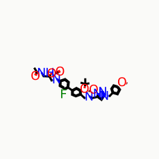 COc1ccc(Cn2cc(CN(Cc3ccc(-c4ccc(N5CC(CNC(C)=O)OC5=O)cc4F)cc3)C(=O)OC(C)(C)C)nn2)cc1